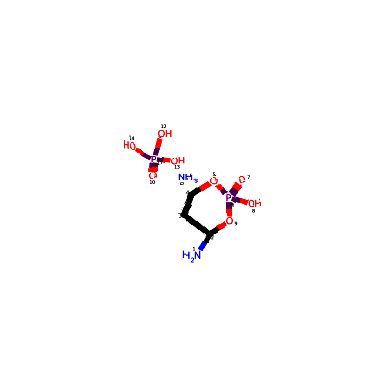 N.NC1CCOP(=O)(O)O1.O=P(O)(O)O